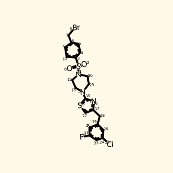 O=S(=O)(c1ccc(CBr)cc1)N1CCN(c2nc(Cc3cc(F)cc(Cl)c3)cs2)CC1